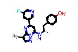 CC(C)c1cnn2c(N[C@@H](C)Cc3ccc(O)cc3)cc(-c3cncc(F)c3)nc12